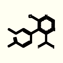 C=C(C)/C=C\C(=C/CC)c1c(Cl)ncnc1C(I)I